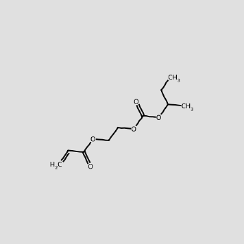 C=CC(=O)OCCOC(=O)OC(C)CC